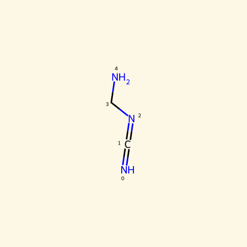 N=C=NCN